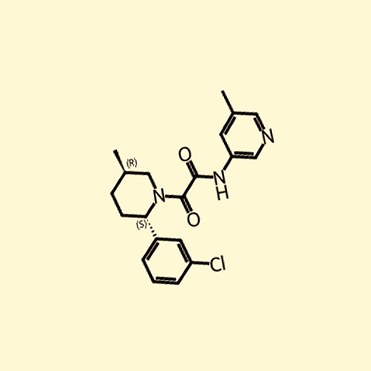 Cc1cncc(NC(=O)C(=O)N2C[C@H](C)CC[C@H]2c2cccc(Cl)c2)c1